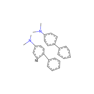 CN(C)c1ccc(-c2ccccc2)cc1.CN(C)c1ccc(-c2ccccc2)cc1.[Ni]